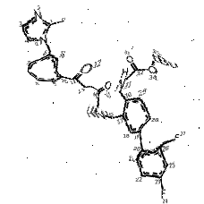 Cc1nccn1-c1cccc(C(=O)CC(=O)Nc2cc(-c3ccc(F)cc3F)ccc2NC(=O)OC(C)(C)C)c1